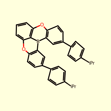 CC(C)c1ccc(-c2ccc3c(c2)B2c4cc(-c5ccc(C(C)C)cc5)ccc4Oc4cccc(c42)O3)cc1